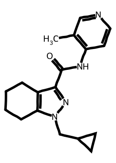 Cc1cnccc1NC(=O)c1nn(CC2CC2)c2c1CCCC2